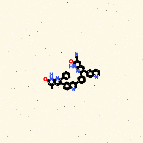 Cc1cc(=O)[nH]c2nc(-c3ccccc3)c(-c3ccc4ncc(-c5cccc(-c6nc7[nH]c(=O)c(C#N)cc7cc6-c6ccc7ncccc7c6)c5)cc4c3)cc12